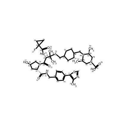 Cc1ncsc1-c1ccc(CNC(=O)[C@@H]2C[C@@H](O)CN2C(=O)[C@H](NC(=O)C2(F)CC2)C(C)(C)SCC2CCC(CN3[C@H](C)CN(C(=O)O)C[C@@H]3C)CC2)cc1